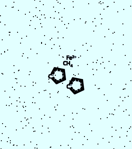 C.[Fe+2].c1cc[cH-]c1.c1cc[cH-]c1